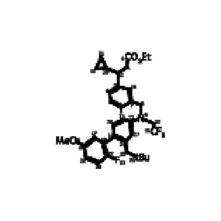 CCOC(=O)CC(c1cccc(CN(CC(F)(F)F)c2ccc(-c3cc(OC)ccc3F)c(CC(C)(C)C)c2)c1)C1CC1